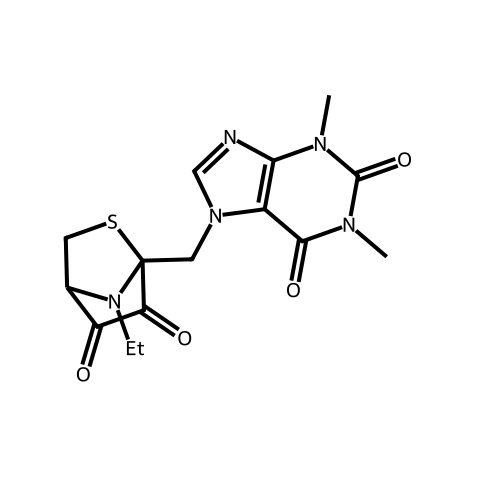 CCN1C2CSC1(Cn1cnc3c1c(=O)n(C)c(=O)n3C)C(=O)C2=O